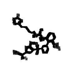 CSc1sc(C(=N)N)cc1S(=O)(=O)c1cccc(-c2c(C)cccc2NC(=O)NCCCCc2nn[nH]n2)c1